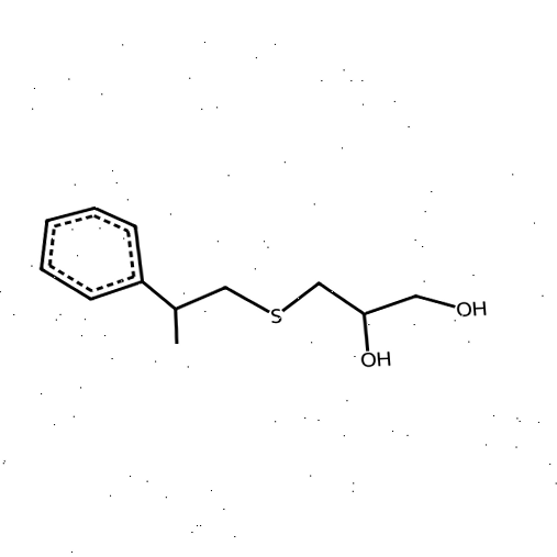 CC(CSCC(O)CO)c1ccccc1